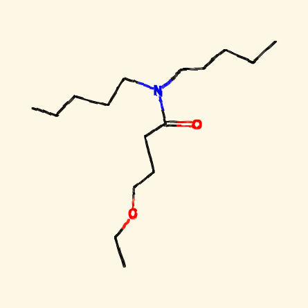 CCCCCN(CCCCC)C(=O)CCCOCC